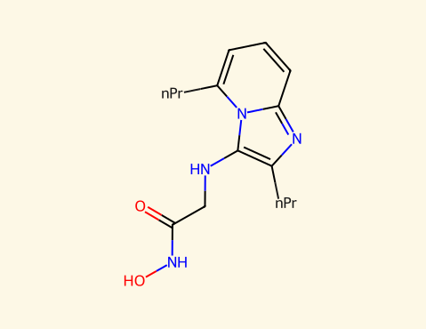 CCCc1nc2cccc(CCC)n2c1NCC(=O)NO